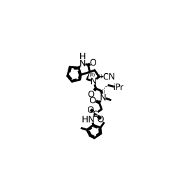 Cc1cccc(C)c1NS(=O)(=O)CC(=O)N(C)[C@@H](CC(C)C)C(=O)N1C[C@]2(C[C@H]1C#N)C(=O)Nc1ccccc12